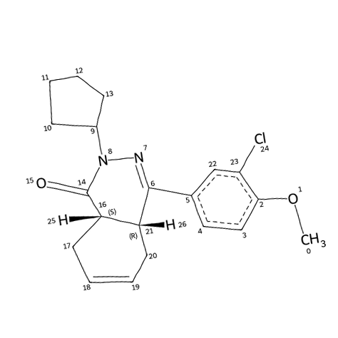 COc1ccc(C2=NN(C3CCCC3)C(=O)[C@H]3CC=CC[C@@H]23)cc1Cl